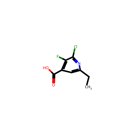 CCc1cc(C(=O)O)c(F)c(Cl)n1